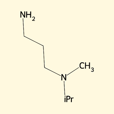 CC(C)N(C)CCCN